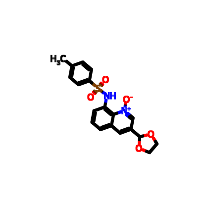 Cc1ccc(S(=O)(=O)Nc2cccc3cc(C4OCCO4)c[n+]([O-])c23)cc1